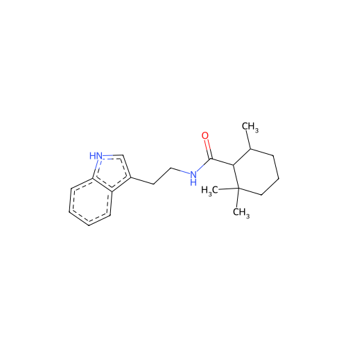 CC1CCCC(C)(C)C1C(=O)NCCc1c[nH]c2ccccc12